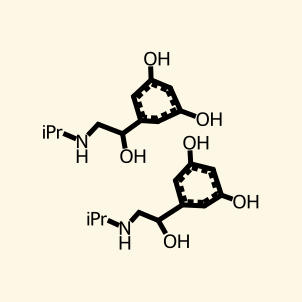 CC(C)NCC(O)c1cc(O)cc(O)c1.CC(C)NCC(O)c1cc(O)cc(O)c1